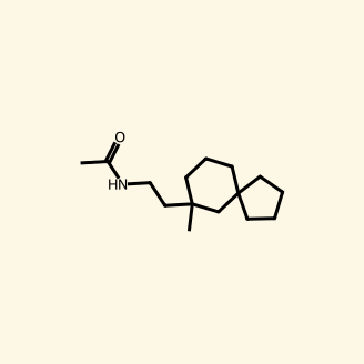 CC(=O)NCCC1(C)CCCC2(CCCC2)C1